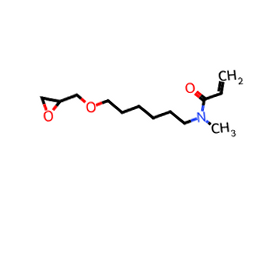 C=CC(=O)N(C)CCCCCCOCC1CO1